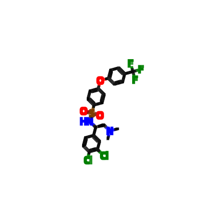 CN(C)C[C@H](NS(=O)(=O)c1ccc(Oc2ccc(C(F)(F)F)cc2)cc1)c1ccc(Cl)c(Cl)c1